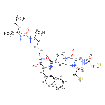 O=C(O)CCC(NC(=O)NC(CCCCNC(=O)C(Cc1ccc2ccccc2c1)NC(=O)C1CCN(C(=O)C(CNC(=O)CS)NC(=O)CS)CC1)C(=O)O)C(=O)O